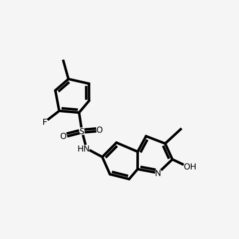 Cc1ccc(S(=O)(=O)Nc2ccc3nc(O)c(C)cc3c2)c(F)c1